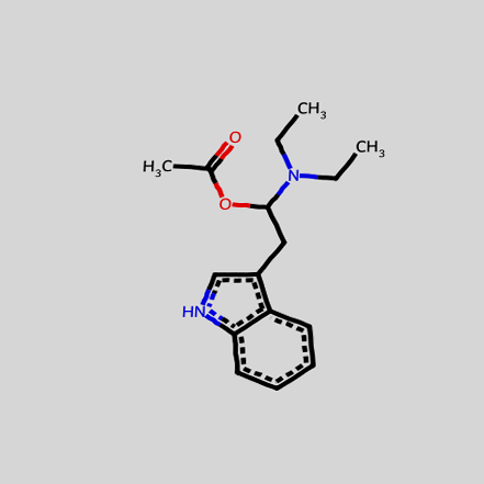 CCN(CC)C(Cc1c[nH]c2ccccc12)OC(C)=O